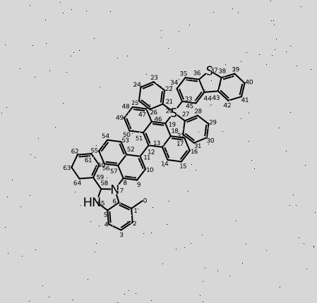 Cc1cccc2c1N(c1ccc(-c3c4ccccc4c(S(c4ccccc4)(c4ccccc4)c4ccc5sc6ccccc6c5c4)c4ccccc34)c3ccccc13)C(C1=CC=CCC1)N2